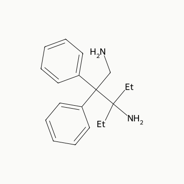 CCC(N)(CC)C(CN)(c1ccccc1)c1ccccc1